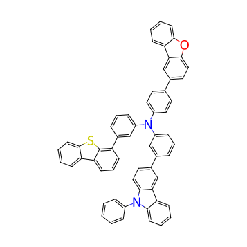 c1ccc(-n2c3ccccc3c3cc(-c4cccc(N(c5ccc(-c6ccc7oc8ccccc8c7c6)cc5)c5cccc(-c6cccc7c6sc6ccccc67)c5)c4)ccc32)cc1